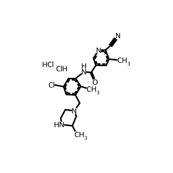 Cc1cc(C(=O)Nc2cc(Cl)cc(CN3CCNC(C)C3)c2C)cnc1C#N.Cl.Cl